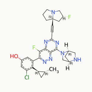 C[C@@H]1C[C@H]1c1c(Cl)cc(O)cc1-c1nnc2c(N3C[C@H]4C[C@@H]3CN4)nc(C#C[C@@]34CCCN3C[C@H](F)C4)nc2c1F